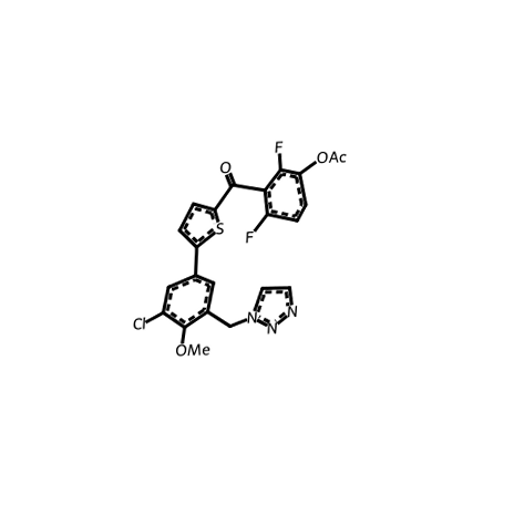 COc1c(Cl)cc(-c2ccc(C(=O)c3c(F)ccc(OC(C)=O)c3F)s2)cc1Cn1ccnn1